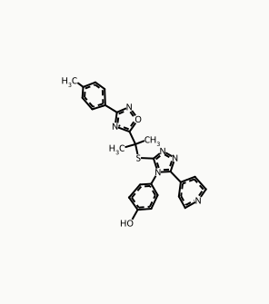 Cc1ccc(-c2noc(C(C)(C)Sc3nnc(-c4ccncc4)n3-c3ccc(O)cc3)n2)cc1